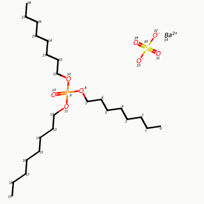 CCCCCCCCOP(=O)(OCCCCCCCC)OCCCCCCCC.O=S(=O)([O-])[O-].[Ba+2]